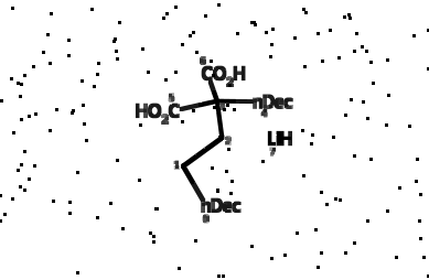 CCCCCCCCCCCCC(CCCCCCCCCC)(C(=O)O)C(=O)O.[LiH]